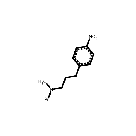 CC(C)N(C)CCCc1ccc([N+](=O)[O-])cc1